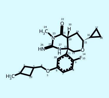 CC1CC(COc2ccc(F)c([C@]34CO[C@@H](C5CC5)C[C@H]3C(=O)N(C)C(=N)N4)c2)C1